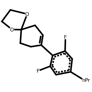 CCCc1cc(F)c(C2=CCC3(CC2)OCCO3)c(F)c1